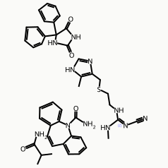 CC(C)C(N)=O.CN/C(=N/C#N)NCCSCc1nc[nH]c1C.NC(=O)N1c2ccccc2C=Cc2ccccc21.O=C1NC(=O)C(c2ccccc2)(c2ccccc2)N1